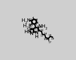 Bc1c(N)cccc1C1C(N)=C(CCCC[C@H](C)CC)Nc2n[nH]cc21